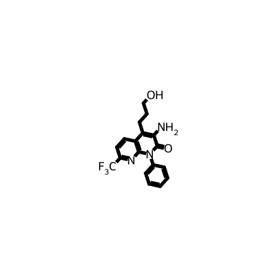 Nc1c(CCCO)c2ccc(C(F)(F)F)nc2n(-c2ccccc2)c1=O